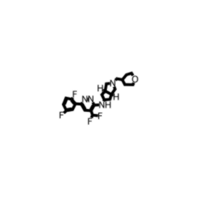 Fc1ccc(F)c(-c2cc(C(F)F)c(NC3C[C@@H]4CN(CC5CCOCC5)C[C@@H]4C3)nn2)c1